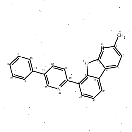 Cc1ccc2c(n1)oc1c(-c3ccc(-c4ccccc4)cn3)cccc12